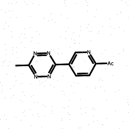 CC(=O)c1ccc(-c2nnc(C)nn2)cn1